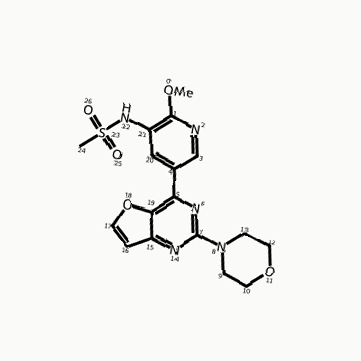 COc1ncc(-c2nc(N3CCOCC3)nc3ccoc23)cc1NS(C)(=O)=O